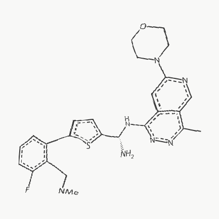 CNCc1c(F)cccc1-c1ccc([C@@H](N)Nc2nnc(C)c3cnc(N4CCOCC4)cc23)s1